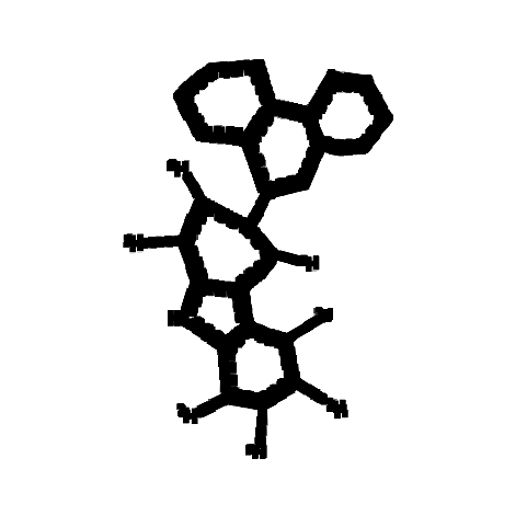 [2H]c1c([2H])c([2H])c2c([nH]c3c([2H])c([2H])c(-c4cc5ccccc5c5ccccc45)c([2H])c32)c1[2H]